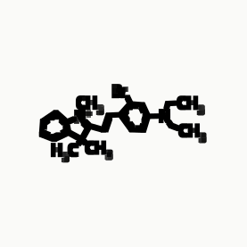 CCN(CC)c1ccc(/C=C/C2=[N+](C)c3ccccc3C2(C)C)c(Br)c1